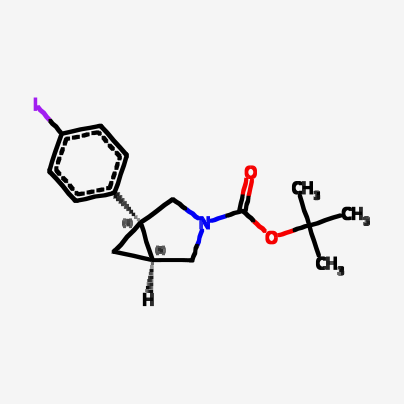 CC(C)(C)OC(=O)N1C[C@H]2C[C@@]2(c2ccc(I)cc2)C1